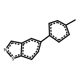 Cc1ccc(-c2ccc3sncc3c2)cc1